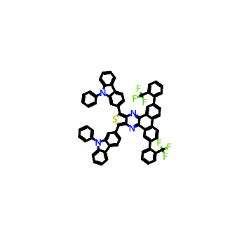 FC(F)(F)c1ccccc1-c1ccc2c3ccc(-c4ccccc4C(F)(F)F)cc3c3nc4c(-c5ccc6c7ccccc7n(-c7ccccc7)c6c5)sc(-c5ccc6c7ccccc7n(-c7ccccc7)c6c5)c4nc3c2c1